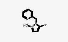 O[n+]1ccc(Br)n1Cc1ccccn1